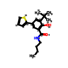 CCCCNC(=O)c1cc(-c2cccs2)cc(C(C)(C)C)c1O